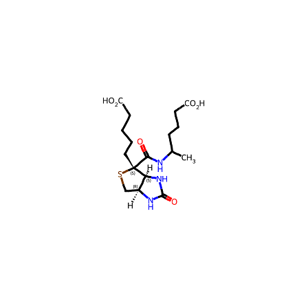 CC(CCCC(=O)O)NC(=O)[C@@]1(CCCCC(=O)O)SC[C@@H]2NC(=O)N[C@@H]21